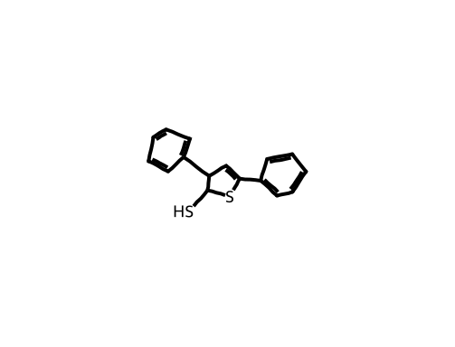 SC1SC(c2ccccc2)=CC1c1ccccc1